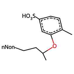 CCCCCCCCCCCC(C)Oc1cc(S(=O)(=O)O)ccc1C